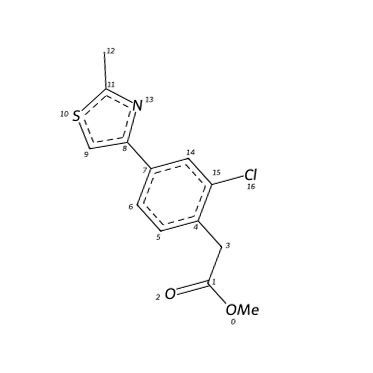 COC(=O)Cc1ccc(-c2csc(C)n2)cc1Cl